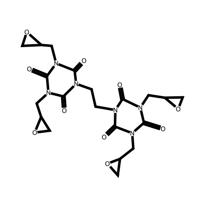 O=c1n(CCn2c(=O)n(CC3CO3)c(=O)n(CC3CO3)c2=O)c(=O)n(CC2CO2)c(=O)n1CC1CO1